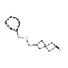 O=C1CC2(C1)CC(COCc1ccccc1)C2